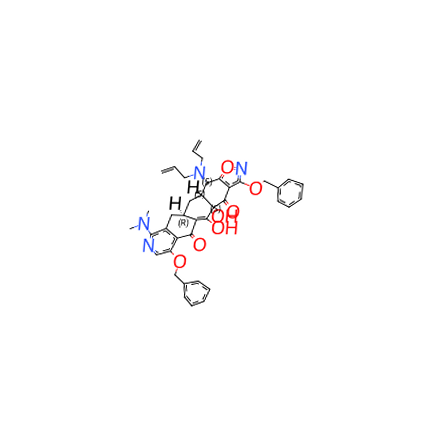 C=CCN(CC=C)[C@@H]1c2onc(OCc3ccccc3)c2C(=O)[C@@]2(O)C(O)=C3C(=O)c4c(OCc5ccccc5)cnc(N(C)C)c4C[C@H]3C[C@@H]12